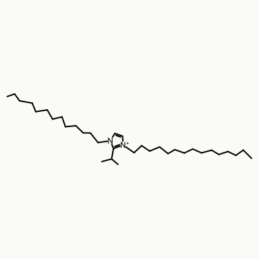 CCCCCCCCCCCCCCC[n+]1ccn(CCCCCCCCCCCCC)c1C(C)C